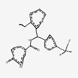 CCc1cccnc1C(NC(=O)c1ccc(=O)[nH]c1)c1ccc(C(F)(F)F)cc1